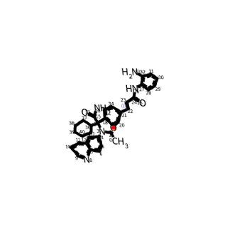 CC(=O)N(c1ccc2ncccc2c1)C(C(N)=O)(c1ccc(/C=C/C(=O)Nc2ccccc2N)cc1)C1CCCCC1